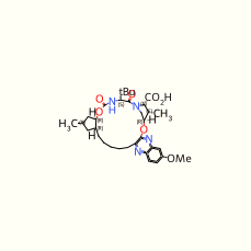 COc1ccc2nc3c(nc2c1)O[C@H]1CN(C(=O)[C@H](C(C)(C)C)NC(=O)O[C@@H]2C[C@H](C)C[C@H]2CCCCC3)[C@H](C(=O)O)[C@@H]1C